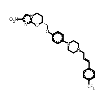 O=[N+]([O-])c1cn2c(n1)O[C@@H](COc1ccc(N3CCN(C/C=C/c4ccc(C(F)(F)F)cc4)CC3)cc1)CC2